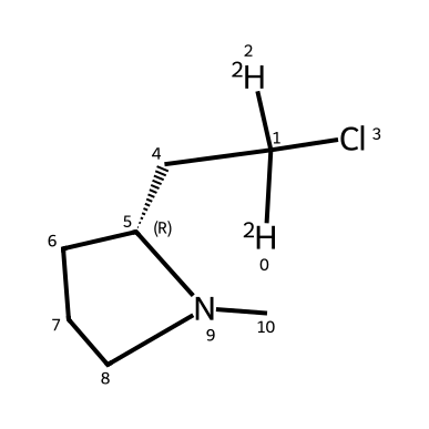 [2H]C([2H])(Cl)C[C@H]1CCCN1C